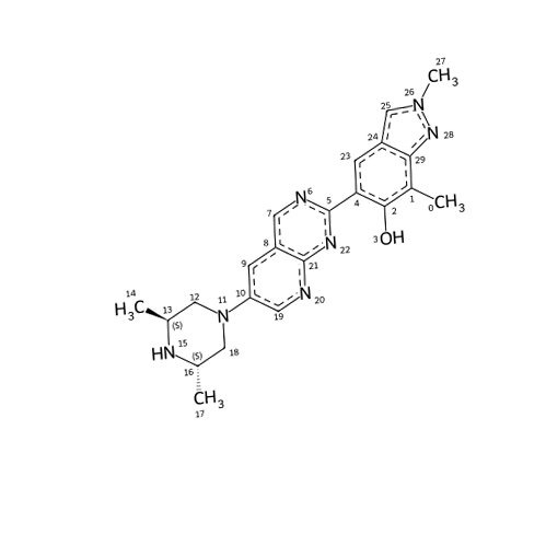 Cc1c(O)c(-c2ncc3cc(N4C[C@H](C)N[C@@H](C)C4)cnc3n2)cc2cn(C)nc12